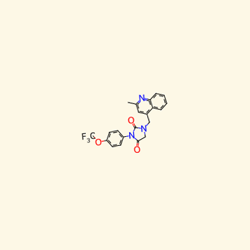 Cc1cc(CN2CC(=O)N(c3ccc(OC(F)(F)F)cc3)C2=O)c2ccccc2n1